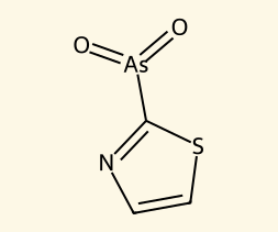 O=[As](=O)c1nccs1